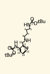 CC(C)(C)OC(=O)NCCCCNCc1ncccc1NC(=O)OC(C)(C)C